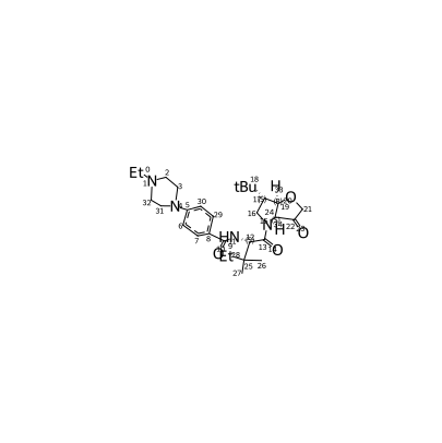 CCN1CCN(c2ccc(C(=O)N[C@H](C(=O)N3C[C@H](C(C)(C)C)[C@H]4OCC(=O)[C@H]43)C(C)(C)CC)cc2)CC1